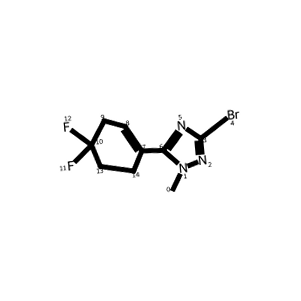 Cn1nc(Br)nc1C1=CCC(F)(F)CC1